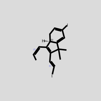 C/C=C\C1=C(/C=C/I)C(C)(C)C2=CC(I)=CC[C@@H]21